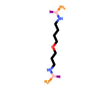 PB(I)NCCCCOCCCNB(P)I